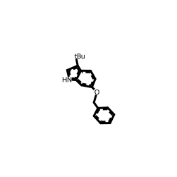 [CH2]C(C)(C)c1c[nH]c2cc(OCc3ccccc3)ccc12